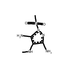 CNc1c(N)nn(S(C)(=O)=O)c1N